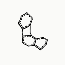 c1ccc2c(c1)-c1ccc3ccccc3c1-2